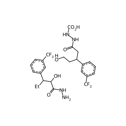 CCC(c1cccc(C(F)(F)F)c1)C(O)C(=O)NN.O=C(O)NNC(=O)CC(CCO)c1cccc(C(F)(F)F)c1